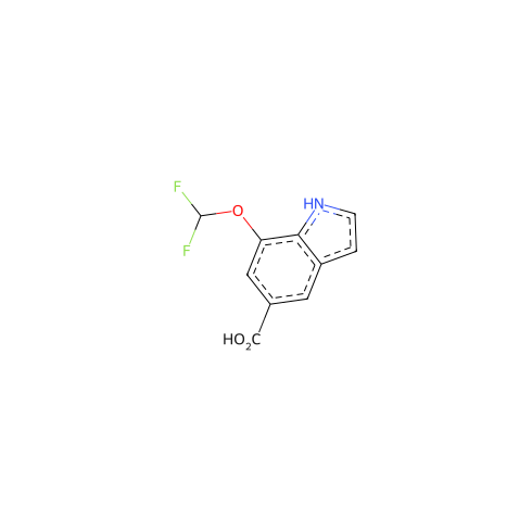 O=C(O)c1cc(OC(F)F)c2[nH]ccc2c1